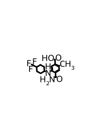 Cc1cc(C(N)=O)c(NC2CCC(C(F)(F)F)CC2)cc1C(=O)O